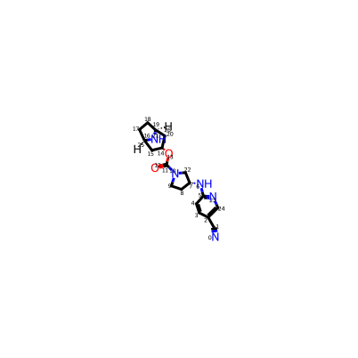 N#Cc1ccc(N[C@@H]2CCN(C(=O)O[C@H]3C[C@H]4CC[C@@H](C3)N4)C2)nc1